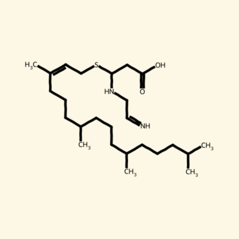 CC(=CCSC(CC(=O)O)NCC=N)CCCC(C)CCCC(C)CCCC(C)C